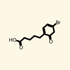 O=C(O)CCCCC1=CC=C(Br)CC1=O